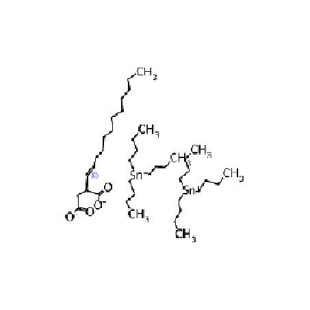 CCCCCCCCCC/C=C/C(CC(=O)[O-])C(=O)[O-].CCC[CH2][Sn+]([CH2]CCC)[CH2]CCC.CCC[CH2][Sn+]([CH2]CCC)[CH2]CCC